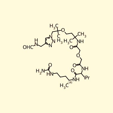 CC(C)C(NC(=O)COCC(=O)NC(C)(C)CCOC(C)(C)Cn1cc(CNC=O)nn1)C(=O)N[C@H](C)CCCNC(N)=O